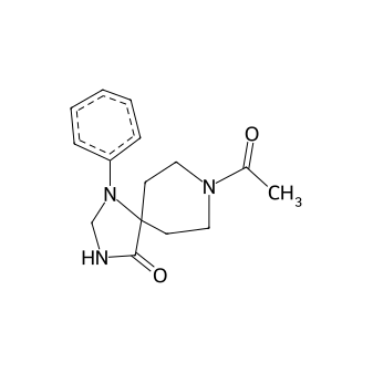 CC(=O)N1CCC2(CC1)C(=O)NCN2c1ccccc1